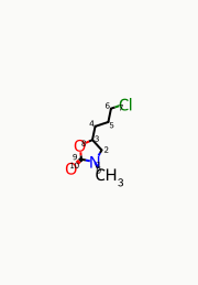 CN1CC(CCCCl)OC1=O